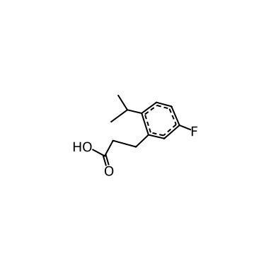 CC(C)c1ccc(F)cc1CCC(=O)O